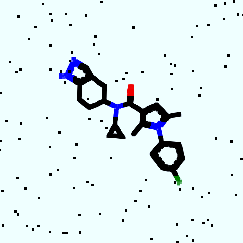 Cc1cc(C(=O)N(C2CC2)C2CCc3[nH]ncc3C2)c(C)n1-c1ccc(F)cc1